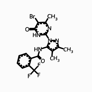 Cc1nn(-c2nc(C)c(Br)c(=O)[nH]2)c(NC(=O)c2ccccc2C(F)(F)F)c1C